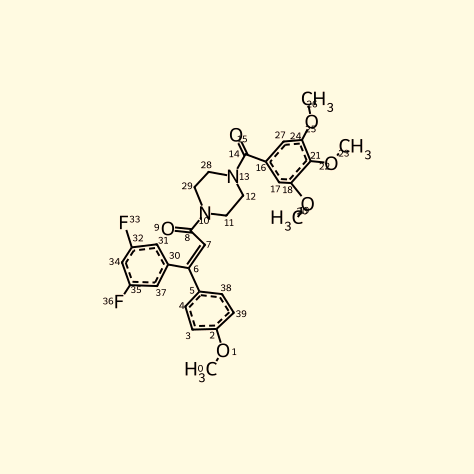 COc1ccc(C(=CC(=O)N2CCN(C(=O)c3cc(OC)c(OC)c(OC)c3)CC2)c2cc(F)cc(F)c2)cc1